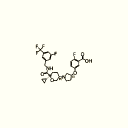 O=C(O)c1cc(O[C@H]2CCN([C@@H]3CC[C@@](C(=O)NCc4cc(F)cc(C(F)(F)F)c4)(C4CC4)OC3)C2)ccc1F